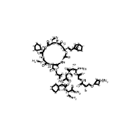 CCCCCC[C@@H](OC(=O)CNC(=O)[C@@H](C)CO[C@H]1C[C@H](N)C1)[C@@H](C)C(=O)N(C)[C@@H](CC(C)CO[C@@H](C)[C@@H]1NC(=O)[C@H](CN)NC(=O)[C@H](C2CCCCC2)NC(=O)[C@H](CC(C)C)N(C)C(=O)[C@H](C)[C@@H](CCC2CC3CCC2C3)OC(=O)CNC1=O)C(=O)N[C@H](C(=O)N[C@@H](CN)C(N)=O)C1CCCCC1